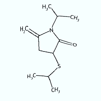 C=C1CC(SC(C)C)C(=O)N1C(C)C